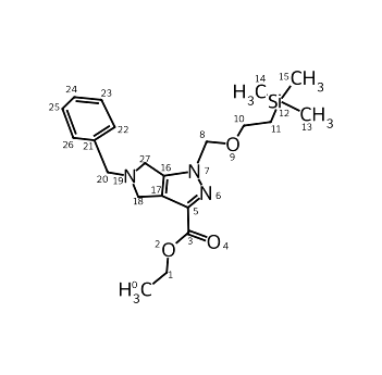 CCOC(=O)c1nn(COCC[Si](C)(C)C)c2c1CN(Cc1ccccc1)C2